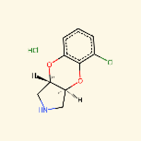 Cl.Clc1cccc2c1O[C@H]1CNC[C@@H]1O2